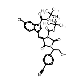 CC(C)(C)OC(=O)N1C(=O)N(C(CO)c2ccc(C#N)cc2)C(=O)/C1=C/c1cn(C(=O)OC(C)(C)C)c2cc(Cl)ccc12